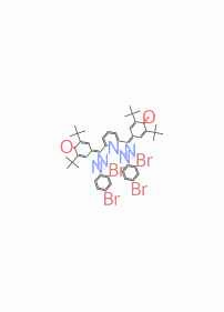 CC(C)(C)C1=CC(=C(/N=N/c2ccc(Br)cc2Br)c2cccc(C(/N=N/c3ccc(Br)cc3Br)=C3C=C(C(C)(C)C)C(=O)C(C(C)(C)C)=C3)n2)C=C(C(C)(C)C)C1=O